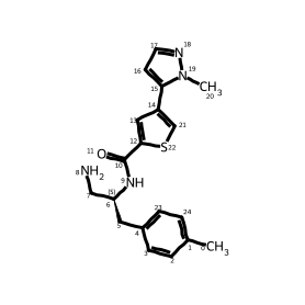 Cc1ccc(C[C@@H](CN)NC(=O)c2cc(-c3ccnn3C)cs2)cc1